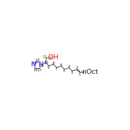 CCCCCCCCC=CCCCCCCCC(CO)N1C=NCC1